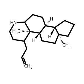 C=CCC1CCNC2CC[C@H]3[C@@H]4CCC[C@@]4(C)CC[C@@H]3[C@@]12C